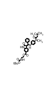 CN(C)CC(=O)N(C)c1ccc(N/C(=C2/C(=O)Nc3cc(C(=O)OCCNC(=O)OC(C)(C)C)ccc32)c2ccccc2)cc1